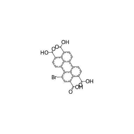 O=C(O)c1ccc2c3ccc(C(=O)O)c4c(C(=O)O)cc(Br)c(c5ccc(C(=O)O)c1c25)c43